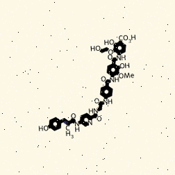 COc1c(NC(=O)c2ccc(NC(=O)CNC(=O)c3ccc(NC(=O)/C(C)=C/c4ccc(O)cc4)cn3)cc2)ccc(C(=O)Nc2ccc(C(=O)O)c(O)c2OCCO)c1O